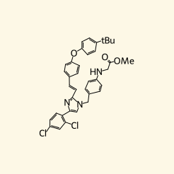 COC(=O)CNc1ccc(Cn2cc(-c3ccc(Cl)cc3Cl)nc2C=Cc2ccc(Oc3ccc(C(C)(C)C)cc3)cc2)cc1